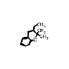 CCC1[C]c2ccccc2OC1(C)C